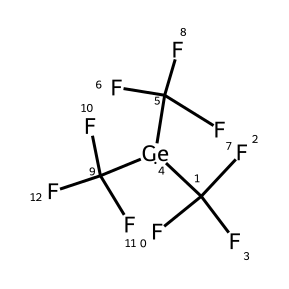 F[C](F)(F)[Ge]([C](F)(F)F)[C](F)(F)F